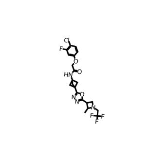 CC1C(c2nnc(C34CC(NC(=O)COc5ccc(Cl)c(F)c5)(C3)C4)o2)CN1CC(F)(F)F